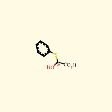 O=C(O)[C@@H](O)Sc1ccccc1